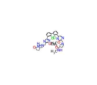 CNC(=O)C1CCN(Cc2ncc(-c3cccc(-c4cccc(-c5cnc(CNCC6CCC(=O)N6)c(OC)n5)c4Cl)c3Cl)nc2OC)C1